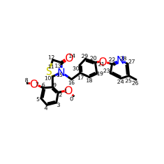 COc1cccc(OC)c1C1SCC(=O)N1Cc1ccc(Oc2ccc(C)cn2)cc1